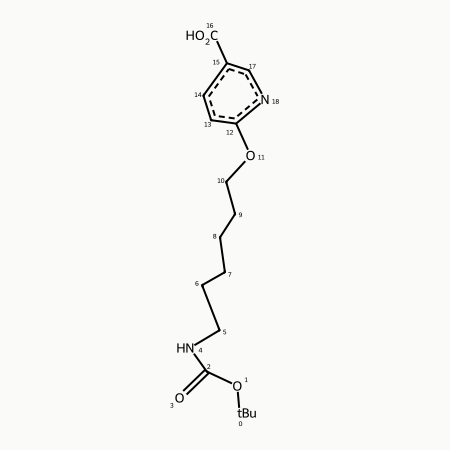 CC(C)(C)OC(=O)NCCCCCCOc1ccc(C(=O)O)cn1